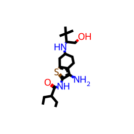 CCC(CC)C(=O)Nc1sc2c(c1N)CCC(NC(CO)C(C)(C)C)C2